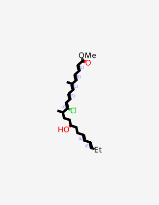 CC/C=C/C=C/CCC(O)CCC(C)/C(Cl)=C/C=C/C=C(C)/C=C/C=C/C(=O)OC